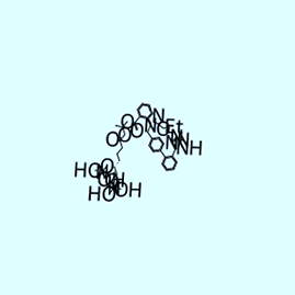 CCOc1nc2cccc(C(=O)OC(C)OC(=O)CCC[C@H](CON(O)O)ON(O)O)c2n1Cc1ccc(-c2ccccc2-c2nnn[nH]2)cc1